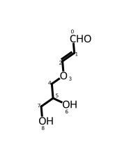 O=CC=COCC(O)CO